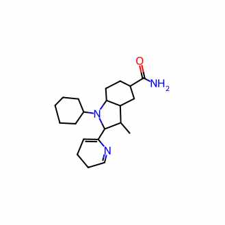 CC1C2CC(C(N)=O)CCC2N(C2CCCCC2)C1C1=CCCC=N1